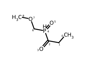 CCC(=O)[PH](=O)COC